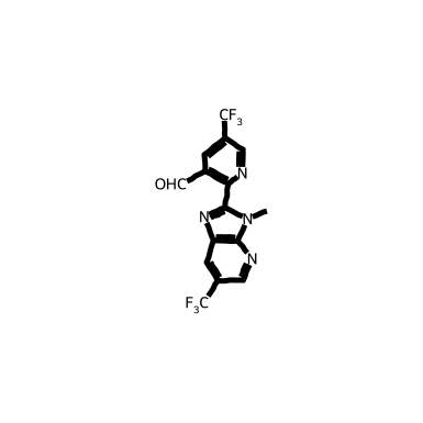 Cn1c(-c2ncc(C(F)(F)F)cc2C=O)nc2cc(C(F)(F)F)cnc21